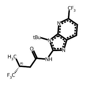 C[C@H](CC(=O)Nc1nc2ccc(C(F)(F)F)nc2n1C(C)(C)C)C(F)(F)F